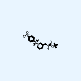 CC(C)(C)OC(=O)NCC1CCCN(S(=O)(=O)c2ccc([N+](=O)[O-])cc2)C1